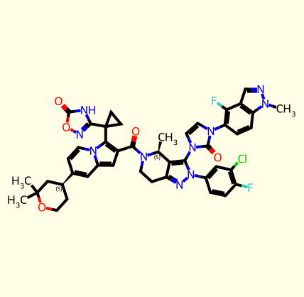 C[C@H]1c2c(nn(-c3ccc(F)c(Cl)c3)c2-n2ccn(-c3ccc4c(cnn4C)c3F)c2=O)CCN1C(=O)c1cc2cc([C@H]3CCOC(C)(C)C3)ccn2c1C1(c2noc(=O)[nH]2)CC1